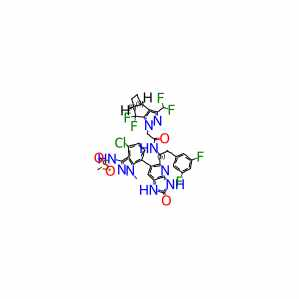 Cn1nc(NS(C)(=O)=O)c2c(Cl)ccc(-c3cc4[nH]c(=O)[nH]c4nc3[C@H](Cc3cc(F)cc(F)c3)NC(=O)Cn3nc(C(F)F)c4c3C(F)(F)[C@@H]3CC[C@H]43)c21